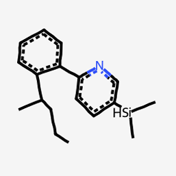 CCCC(C)c1ccccc1-c1ccc([SiH](C)C)cn1